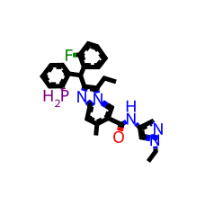 CCc1c(C(c2ccccc2F)c2ccccc2P)nc2cc(C)c(C(=O)Nc3cnn(CC)c3)cn12